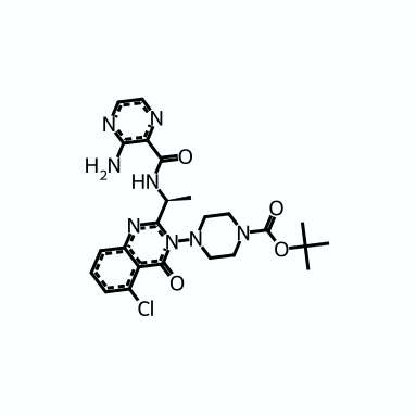 C[C@H](NC(=O)c1nccnc1N)c1nc2cccc(Cl)c2c(=O)n1N1CCN(C(=O)OC(C)(C)C)CC1